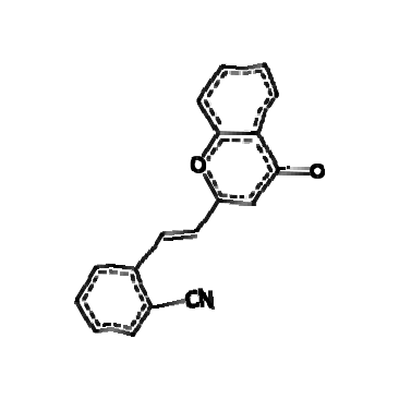 N#Cc1ccccc1C=Cc1cc(=O)c2ccccc2o1